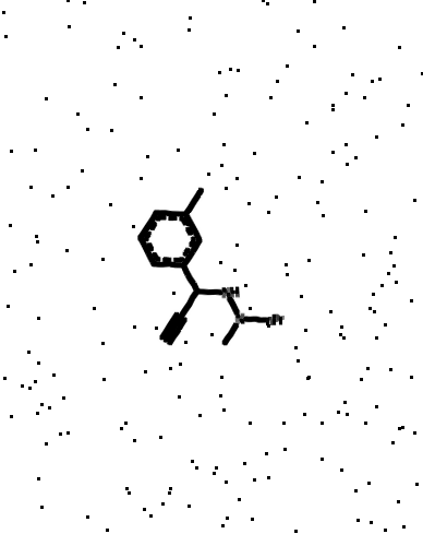 C#CC(NN(C)CCC)c1cccc(C)c1